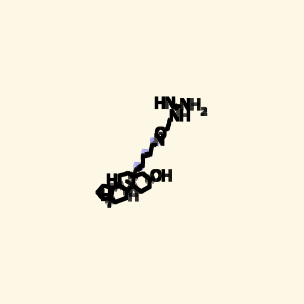 C[C@@]12CCC[C@H]1[C@@H]1CC[C@]3(/C=C/C=C/C=N/OCCNC(=N)N)C[C@@H](O)CC[C@]3(C)[C@H]1CC2